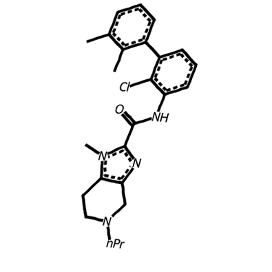 CCCN1CCc2c(nc(C(=O)Nc3cccc(-c4cccc(C)c4C)c3Cl)n2C)C1